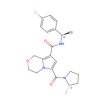 CC[C@@H](NC(=O)c1cc(C(=O)N2CCC[C@@H]2C)n2c1COCC2)c1ccc(F)cc1